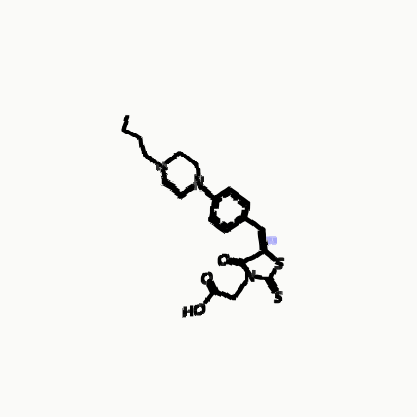 CCCCN1CCN(c2ccc(/C=C3/SC(=S)N(CC(=O)O)C3=O)cc2)CC1